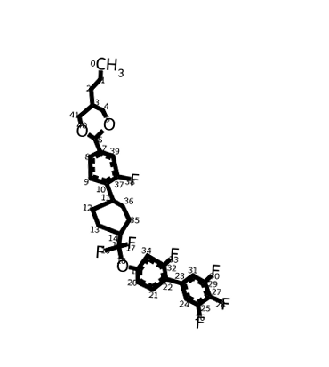 CCCC1COC(c2ccc(C3CCC(C(F)(F)Oc4ccc(-c5cc(F)c(F)c(F)c5)c(F)c4)CC3)c(F)c2)OC1